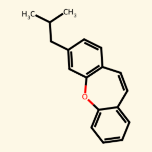 CC(C)Cc1ccc2c(c1)Oc1ccccc1C=C2